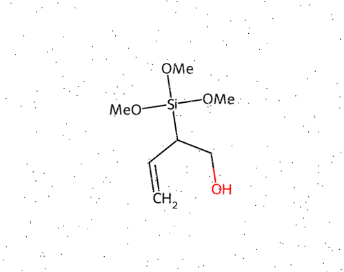 C=CC(CO)[Si](OC)(OC)OC